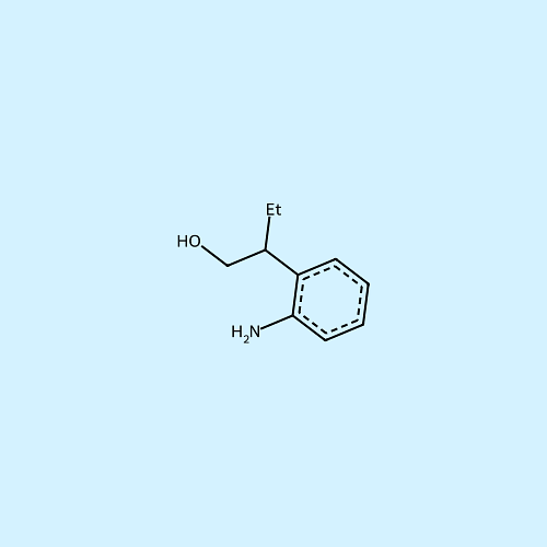 CCC(CO)c1ccccc1N